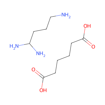 NCCCC(N)N.O=C(O)CCCCC(=O)O